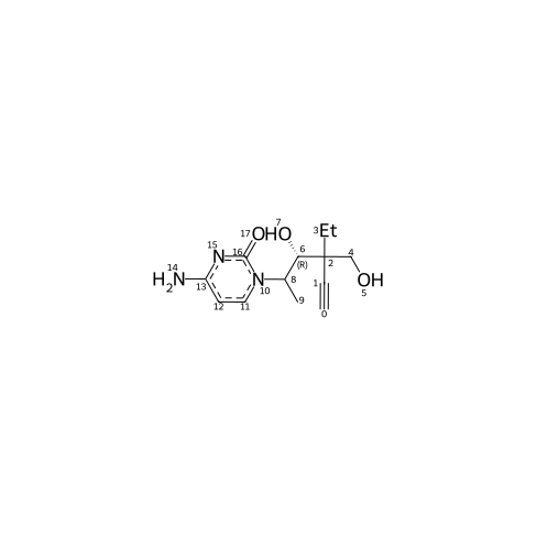 C#CC(CC)(CO)[C@@H](O)C(C)n1ccc(N)nc1=O